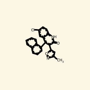 Cc1cc(-c2c(-c3cccc4ccccc34)c3cc(Cl)ccc3[nH]c2=O)on1